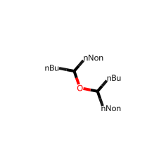 CCCCCCCCCC(CCCC)OC(CCCC)CCCCCCCCC